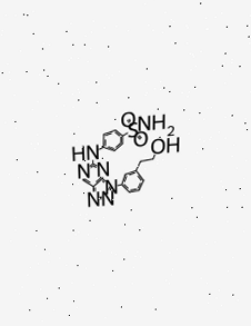 NS(=O)(=O)c1ccc(Nc2ncc3nnn(-c4cccc(CCO)c4)c3n2)cc1